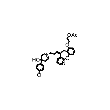 CC(=O)OCCOc1cccc2c1C/C(=C/CCN1CCC(O)(c3ccc(Cl)cc3)CC1)c1cccnc1O2